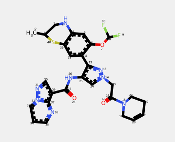 CC1CNc2cc(OC(F)F)c(-c3nn(CC(=O)N4CC=CCC4)cc3NC(=O)c3cnn4cccnc34)cc2S1